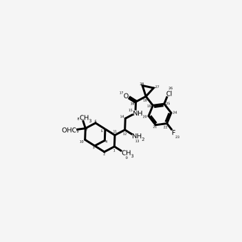 CC1CC2CC(CC(C)(C=O)C2)C1C(N)CNC(=O)C1(c2ccc(F)cc2Cl)CC1